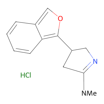 CNC1=NCC(c2occ3ccccc23)C1.Cl